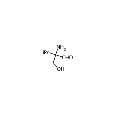 CC(C)C(N)(C=O)CO